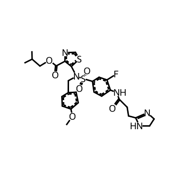 COc1ccc(CN(c2scnc2C(=O)OCC(C)C)S(=O)(=O)c2ccc(NC(=O)CCC3=NCCN3)c(F)c2)cc1